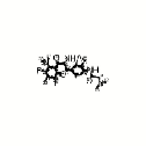 CC(=O)Nc1c(-c2ccc(NC(=O)CN(C)C)c(F)c2)oc2c(F)c(C)c(F)c(N(C)C)c2c1=O